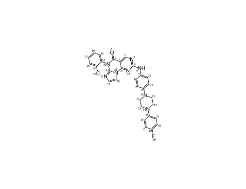 O=c1c2cnc(Nc3ccc(N4CCN(c5ccc(F)cc5)CC4)cc3)nc2n2ccnc2n1-c1ccccc1Cl